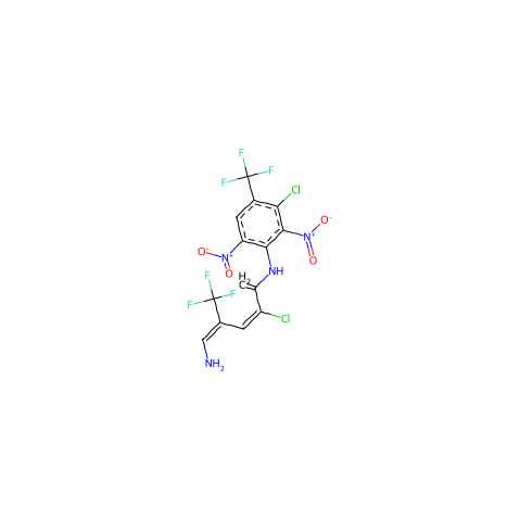 C=C(Nc1c([N+](=O)[O-])cc(C(F)(F)F)c(Cl)c1[N+](=O)[O-])/C(Cl)=C\C(=C/N)C(F)(F)F